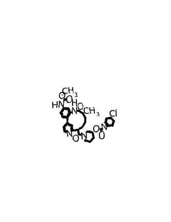 COC(=O)Nc1ccc2c(c1)NC(=O)C(C)CCCC(C(=O)N1CCCC(OC(=O)N3c4ccc(Cl)cc43)C1)c1cc-2ccn1